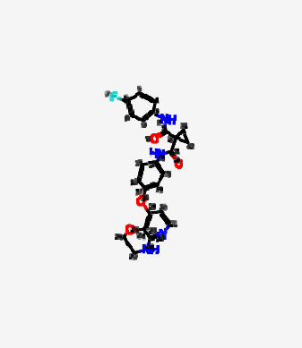 O=C(Nc1ccc(F)cc1)C1(C(=O)Nc2ccc(Oc3ccnc4c3OCCN4)cc2)CC1